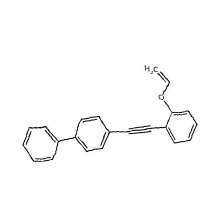 C=COc1ccccc1C#Cc1ccc(-c2ccccc2)cc1